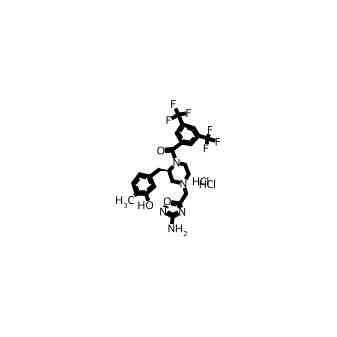 Cc1ccc(C[C@@H]2CN(Cc3nc(N)no3)CCN2C(=O)c2cc(C(F)(F)F)cc(C(F)(F)F)c2)cc1O.Cl.Cl